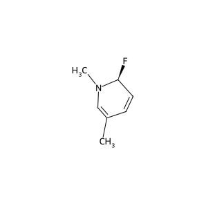 CC1=CN(C)[C@@H](F)C=C1